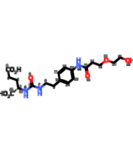 O=C(O)CC[C@H](NC(=O)NCCc1ccc(NC(=O)CCOCCO)cc1)C(=O)O